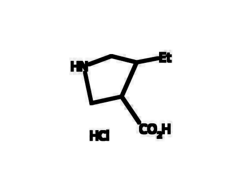 CCC1CNCC1C(=O)O.Cl